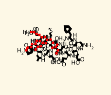 CC[C@H](C)[C@H](NC(=O)[C@@H](NC(=O)[C@H](CCC(=O)O)NC(=O)[C@H](CCC(=O)O)NC(=O)[C@H](CC(N)=O)NC(=O)[C@@H](N)Cc1ccccc1)[C@@H](C)O)C(=O)NCC(=O)N[C@@H](CCC(N)=O)C(=O)N[C@@H](Cc1ccccc1)C(=O)N[C@@H](CC(C)C)C(=O)N[C@@H](CCC(=O)O)C(=O)N[C@H](C(=O)N[C@@H](CCSC)C(=O)N[C@@H](CCC(=O)O)C(=O)N[C@@H](CCC(N)=O)C(=O)O)C(C)C